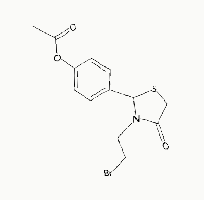 CC(=O)Oc1ccc(C2SCC(=O)N2CCBr)cc1